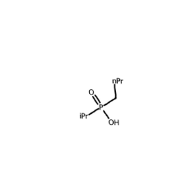 CCCCP(=O)(O)C(C)C